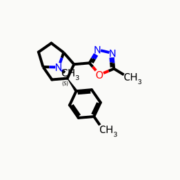 Cc1ccc([C@H]2CC3CCC(C2c2nnc(C)o2)N3C)cc1